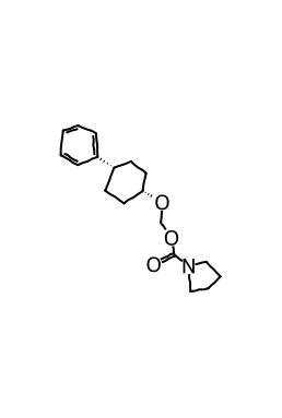 O=C(OCO[C@H]1CC[C@@H](c2ccccc2)CC1)N1CCCC1